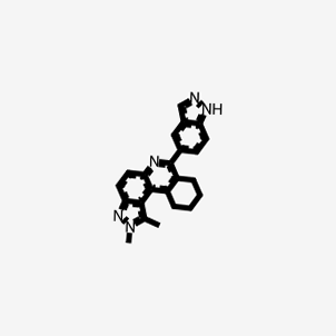 Cc1c2c(ccc3nc(-c4ccc5[nH]ncc5c4)c4c(c32)CCCC4)nn1C